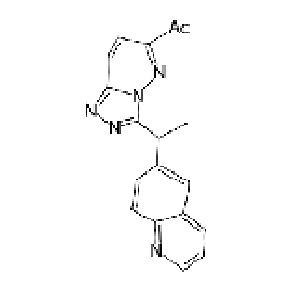 CC(=O)c1ccc2nnc(C(C)c3ccc4ncccc4c3)n2n1